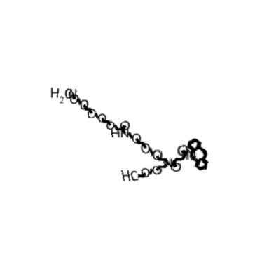 C#CCOCCOCCN(CCOCCOCCOCCNC(=O)CCOCCOCCOCCOCCON=C)C(=O)CCC(=O)N1Cc2ccccc2C#Cc2ccccc21